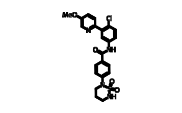 COc1ccc(-c2cc(NC(=O)c3ccc(N4CCCNS4(=O)=O)cc3)ccc2Cl)nc1